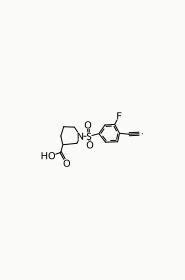 [C]#Cc1ccc(S(=O)(=O)N2CCCC(C(=O)O)C2)cc1F